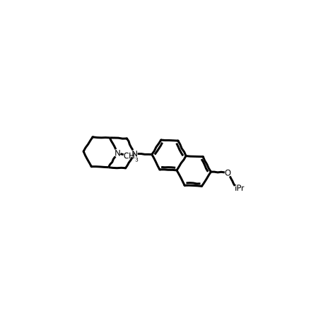 CC(C)Oc1ccc2cc(N3CC4CCCC(C3)N4C)ccc2c1